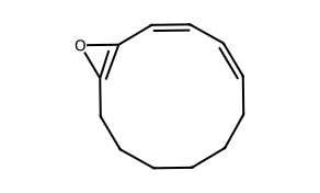 C1=CCCCCCCC2=C(C=C1)O2